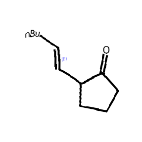 CCCC/C=C/C1CCCC1=O